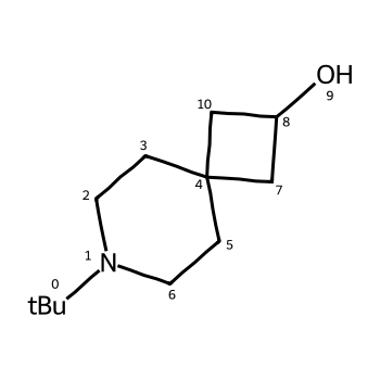 CC(C)(C)N1CCC2(CC1)CC(O)C2